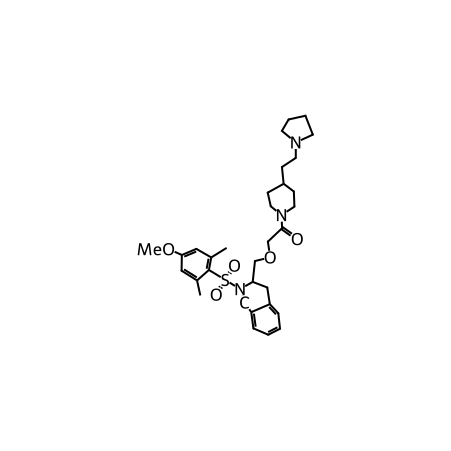 COc1cc(C)c(S(=O)(=O)N2Cc3ccccc3CC2COCC(=O)N2CCC(CCN3CCCC3)CC2)c(C)c1